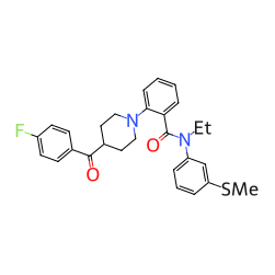 CCN(C(=O)c1ccccc1N1CCC(C(=O)c2ccc(F)cc2)CC1)c1cccc(SC)c1